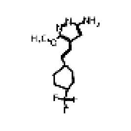 COc1nnc(N)cc1/C=C/C1CCC(C(F)(F)F)CC1